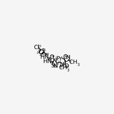 Cc1noc(C(C)C)c1C(=O)N(C)Cc1nsc(NC(=O)NCc2ccc(Cl)s2)n1